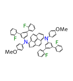 COc1ccc(N(c2cc(-c3ccccc3F)cc(-c3ccccc3F)c2)c2ccc3ccc4c(N(c5ccc(OC)cc5)c5cc(-c6ccccc6F)cc(-c6ccccc6F)c5)ccc5ccc2c3c54)cc1